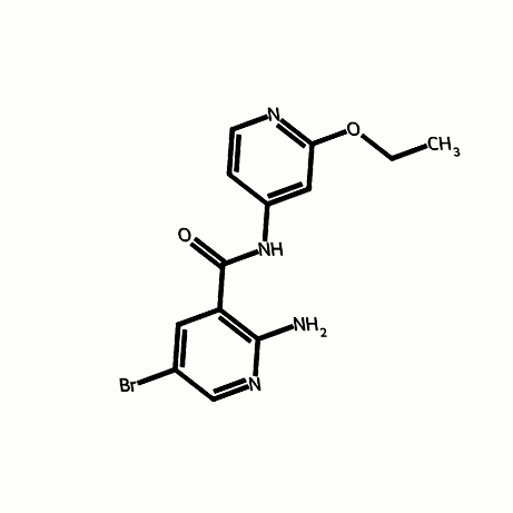 CCOc1cc(NC(=O)c2cc(Br)cnc2N)ccn1